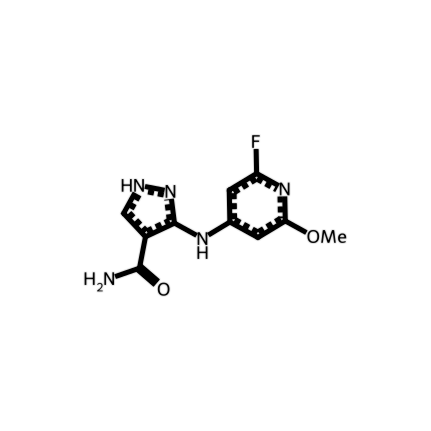 COc1cc(Nc2n[nH]cc2C(N)=O)cc(F)n1